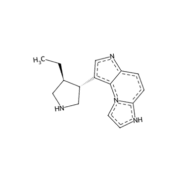 CC[C@@H]1CNC[C@H]1c1cnc2ccc3[nH]ccn3c1-2